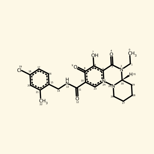 CCN1C(=O)c2c(O)c(=O)c(C(=O)NCc3ccc(Cl)cc3C)cn2N2CCCC[C@@H]12